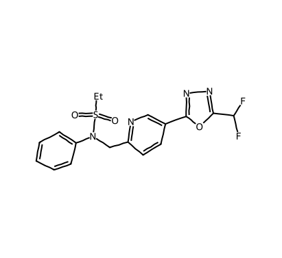 CCS(=O)(=O)N(Cc1ccc(-c2nnc(C(F)F)o2)cn1)c1ccccc1